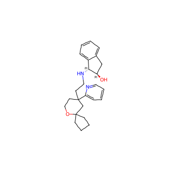 O[C@@H]1Cc2ccccc2[C@H]1NCCC1(c2ccccn2)CCOC2(CCCC2)C1